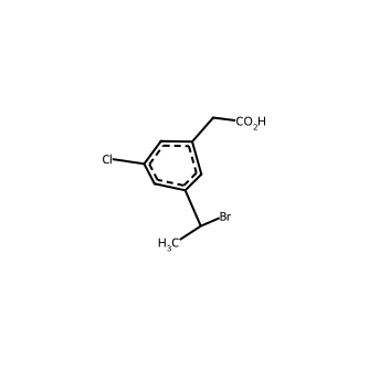 CC(Br)c1cc(Cl)cc(CC(=O)O)c1